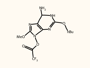 CCCCOC1=Nc2c(nc(OC)n2OC(=O)C(F)(F)F)C(N)N1